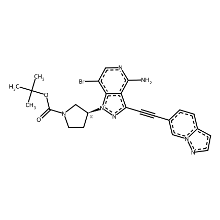 CC(C)(C)OC(=O)N1CC[C@H](n2nc(C#Cc3ccc4ccnn4c3)c3c(N)ncc(Br)c32)C1